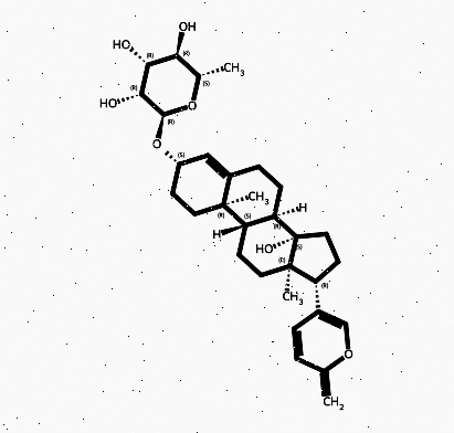 C=C1C=CC([C@H]2CC[C@]3(O)[C@@H]4CCC5=C[C@@H](O[C@@H]6O[C@@H](C)[C@H](O)[C@@H](O)[C@H]6O)CC[C@]5(C)[C@H]4CC[C@]23C)=CO1